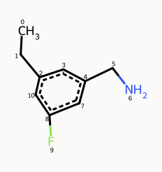 CCc1[c]c(CN)cc(F)c1